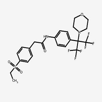 CCS(=O)(=O)c1ccc(CC(=O)Nc2ccc(C(N3CCOCC3)(C(F)(F)F)C(F)(F)F)cc2)cc1